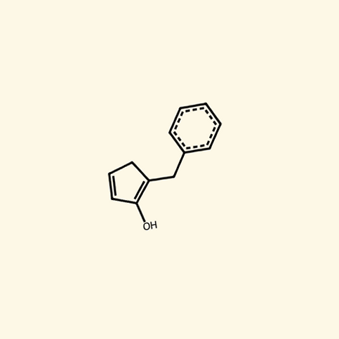 OC1=C(Cc2ccccc2)CC=C1